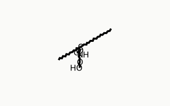 CCCCCCCCCCCCCCCCCCCC(CCCCCCCCCCCC)OC(=O)NCCCOCCO